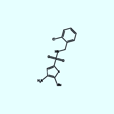 CC(C)(C)c1sc(S(=O)(=O)NCc2ccccc2Cl)cc1N